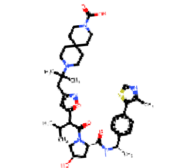 Cc1ncsc1-c1ccc([C@H](C)NC(=O)[C@@H]2C[C@@H](O)CN2C(=O)C(c2cc(CC(C)(C)N3CCC4(CCN(C(=O)O)CC4)CC3)no2)C(C)C)cc1